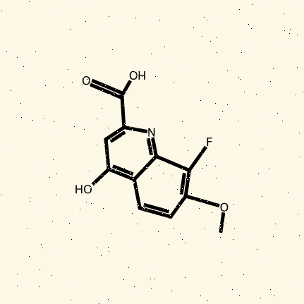 COc1ccc2c(O)cc(C(=O)O)nc2c1F